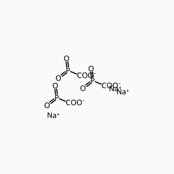 O=C([O-])P(=O)=O.O=C([O-])P(=O)=O.O=C([O-])P(=O)=O.[Na+].[Na+].[Na+]